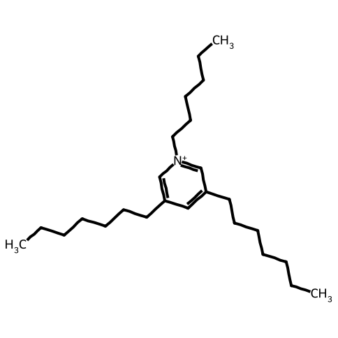 CCCCCCCc1cc(CCCCCCC)c[n+](CCCCCC)c1